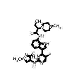 CCC(C(=O)Nc1cccc2c(-c3nc(Nc4cn(C)nc4C)ncc3F)c[nH]c12)N1CCN(C)CC1